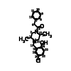 CC1CN(C(=O)Cc2ccccc2)C(C)CN1Cc1cc(Cl)ccc1O